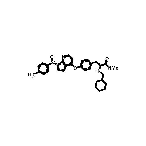 CNC(=O)C(Cc1ccc(Oc2ccnc3c2ccn3[S+]([O-])c2ccc(C)cc2)cc1)NCC1CCCCC1